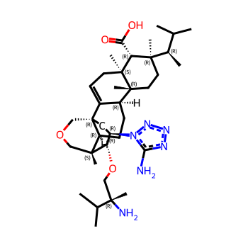 CC(C)[C@@H](C)[C@@]1(C)CC[C@]2(C)[C@H]3CC[C@@H]4[C@@]5(COC[C@@]4(C)[C@@H](OC[C@](C)(N)C(C)C)[C@H](n4nnnc4N)C5)C3=CC[C@@]2(C)[C@@H]1C(=O)O